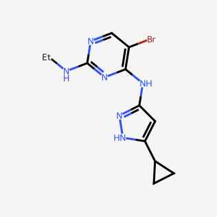 CCNc1ncc(Br)c(Nc2cc(C3CC3)[nH]n2)n1